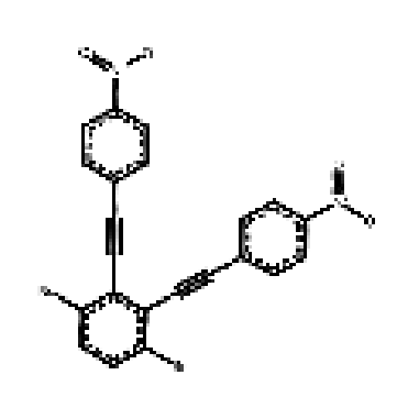 O=[N+]([O-])c1ccc(C#Cc2c(Br)ccc(Br)c2C#Cc2ccc([N+](=O)[O-])cc2)cc1